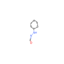 O=C=NNc1ccccc1